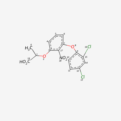 CC(Oc1cccc(Oc2ccc(Cl)cc2Cl)c1[N+](=O)[O-])C(=O)O